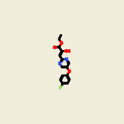 CCOC(=O)C(O)=Cc1ncc(Oc2ccc(F)cc2)cn1